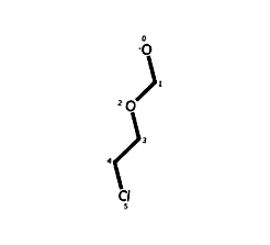 [O]COCCCl